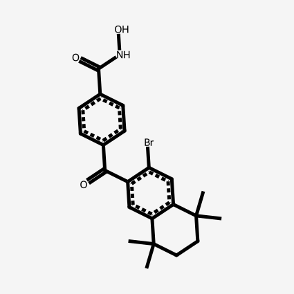 CC1(C)CCC(C)(C)c2cc(C(=O)c3ccc(C(=O)NO)cc3)c(Br)cc21